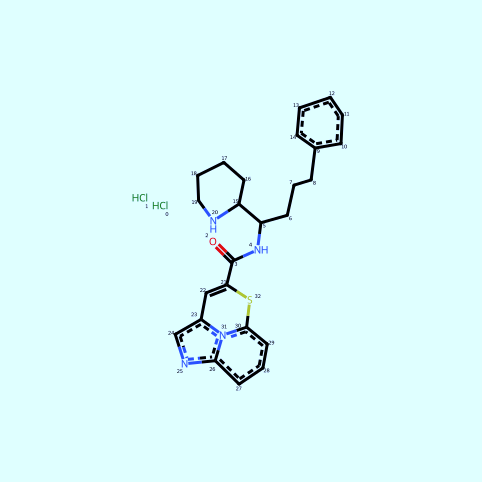 Cl.Cl.O=C(NC(CCCc1ccccc1)C1CCCCN1)C1=Cc2cnc3cccc(n23)S1